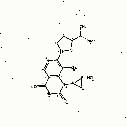 CN[C@@H](C)C1CCN(c2ncc3c(=O)[nH]c(=O)n(C4CC4)c3c2C)C1.Cl